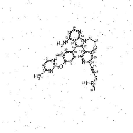 Cc1ccnc(Oc2ccc(-c3c4n(c5ncnc(N)c35)CCOc3cc(C#CSP(I)I)ncc3-4)cc2F)n1